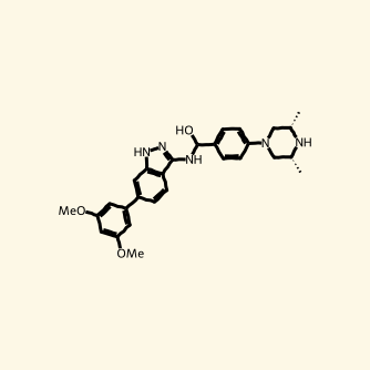 COc1cc(OC)cc(-c2ccc3c(NC(O)c4ccc(N5C[C@@H](C)N[C@@H](C)C5)cc4)n[nH]c3c2)c1